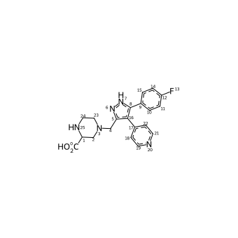 O=C(O)C1CN(Cc2n[nH]c(-c3ccc(F)cc3)c2-c2ccncc2)CCN1